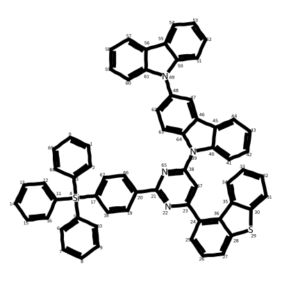 c1ccc([Si](c2ccccc2)(c2ccccc2)c2ccc(-c3nc(-c4cccc5sc6ccccc6c45)cc(-n4c5ccccc5c5cc(-n6c7ccccc7c7ccccc76)ccc54)n3)cc2)cc1